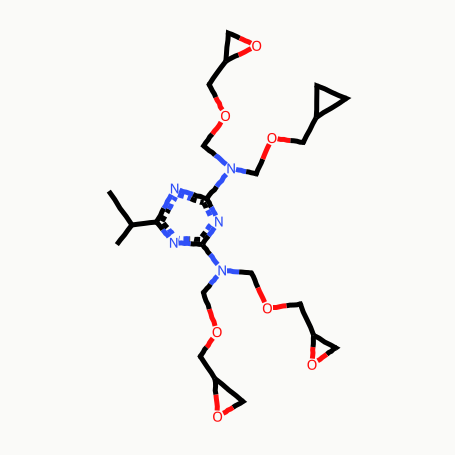 CC(C)c1nc(N(COCC2CC2)COCC2CO2)nc(N(COCC2CO2)COCC2CO2)n1